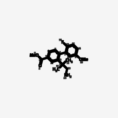 COC(=O)c1ccc(-c2cc(OC)ccc2F)c(C(C)(C)CN)c1